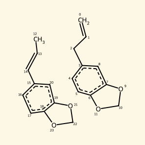 C=CCc1ccc2c(c1)OCO2.CC=Cc1ccc2c(c1)OCO2